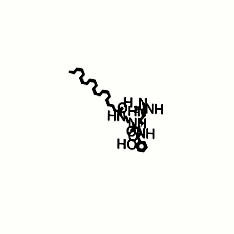 CC/C=C\C/C=C\C/C=C\C/C=C\C/C=C\C/C=C\CCC(=O)NCCNC(=O)[C@H](CCCNC(=N)N)NC(=O)c1ccccc1O